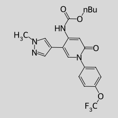 CCCCOC(=O)Nc1cc(=O)n(-c2ccc(OC(F)(F)F)cc2)cc1-c1cnn(C)c1